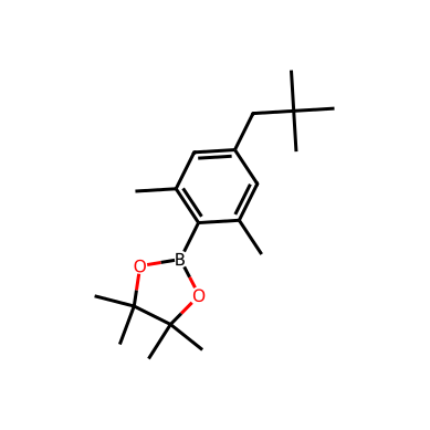 Cc1cc(CC(C)(C)C)cc(C)c1B1OC(C)(C)C(C)(C)O1